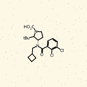 CC(C)(C)C1[C@@H](N(CC2CCC2)C(=O)c2cccc(Cl)c2Cl)CCN1C(=O)O